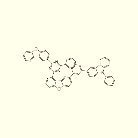 c1ccc(-c2nc(-c3ccc4oc5ccccc5c4c3)nc(-c3cccc4oc5ccc(-c6cccc(-c7ccc8c(c7)c7ccccc7n8-c7ccccc7)c6)cc5c34)n2)cc1